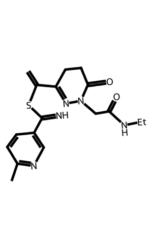 C=C(SC(=N)c1ccc(C)nc1)C1=NN(CC(=O)NCC)C(=O)CC1